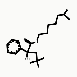 CC(C)CCCCCOC(=O)C(O)(CC(C)(C)C)c1ccccc1